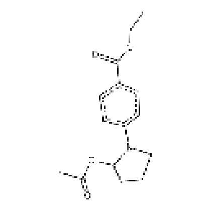 CCOC(=O)c1ccc(N2CCCC2OC(C)=O)cc1